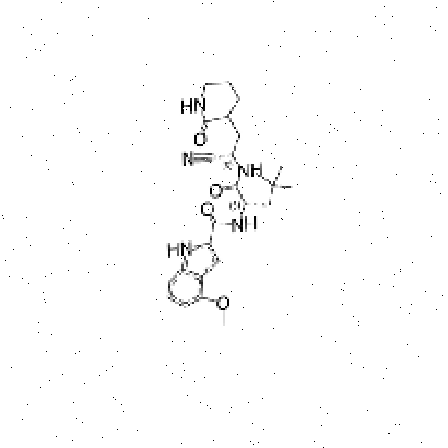 COc1cccc2[nH]c(C(=O)N[C@@H](CC(C)(C)C)C(=O)N[C@H](C#N)CC3CCCNC3=O)cc12